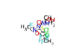 CC(C)(O)CNC(=O)c1nc(C(=O)N2CCC(C)(F)C2)c(-c2ccc(C(C)(C(F)(F)F)C(F)(F)F)c(Cl)c2Cl)s1